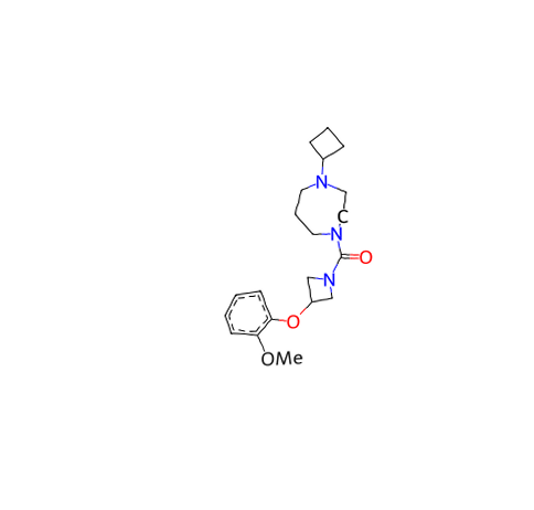 COc1ccccc1OC1CN(C(=O)N2CCCN(C3CCC3)CC2)C1